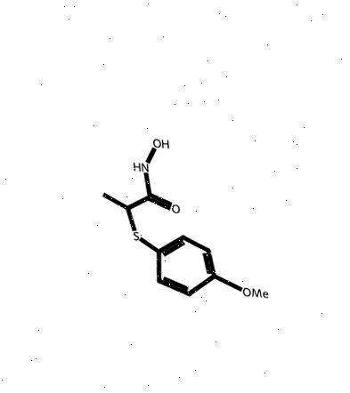 COc1ccc(SC(C)C(=O)NO)cc1